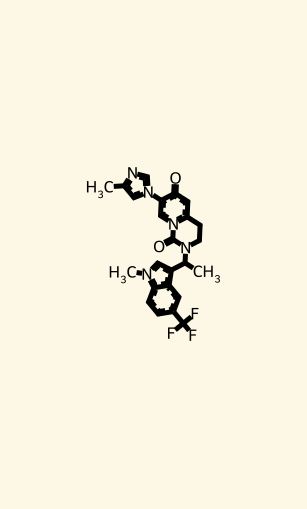 Cc1cn(-c2cn3c(cc2=O)CCN(C(C)c2cn(C)c4ccc(C(F)(F)F)cc24)C3=O)cn1